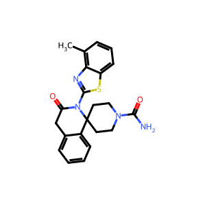 Cc1cccc2sc(N3C(=O)Cc4ccccc4C34CCN(C(N)=O)CC4)nc12